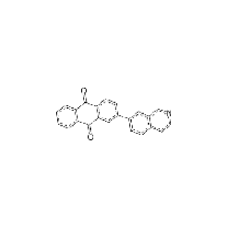 O=C1c2ccccc2C(=O)c2cc(-c3ccc4ccncc4c3)ccc21